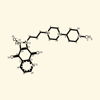 CN1CCC(N2CCN(CCCN3C4=C(C(=O)c5cccnc5C4=O)[NH+]3[O-])CC2)CC1